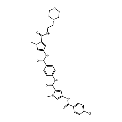 Cn1cc(NC(=O)c2ccc(NC(=O)c3cc(NC(=O)c4ccc(Cl)cc4)cn3C)cc2)cc1C(=O)NCCN1CCOCC1